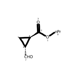 CCCOC(=O)[C@@H]1C[C@H]1C=O